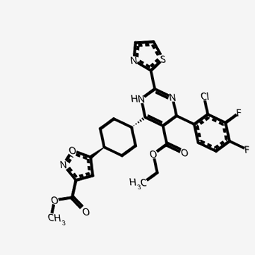 CCOC(=O)C1=C([C@H]2CC[C@H](c3cc(C(=O)OC)no3)CC2)NC(c2nccs2)=NC1c1ccc(F)c(F)c1Cl